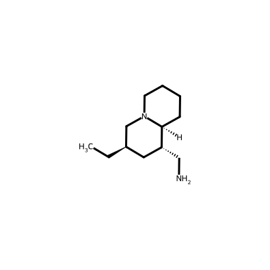 CC[C@@H]1C[C@@H](CN)[C@@H]2CCCCN2C1